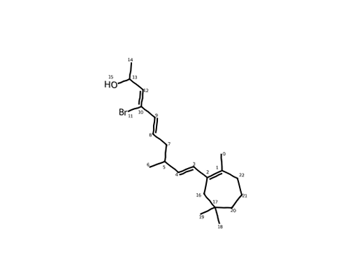 CC1=C(/C=C/C(C)C/C=C/C(Br)=C/C(C)O)CC(C)(C)CCC1